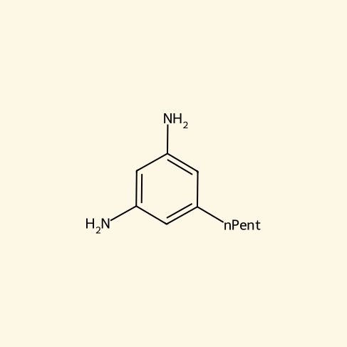 CCCCCc1cc(N)cc(N)c1